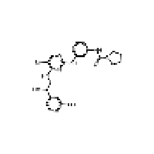 O=C(Nc1cccc(Nc2ncc(Br)c(NCC(O)c3cccc(O)c3)n2)c1)N1CCCC1